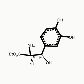 [2H][C@@](N)(C(=O)OCC)[C@@H](O)c1ccc(O)c(O)c1